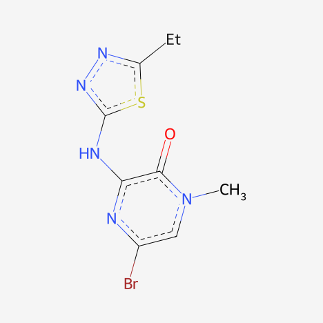 CCc1nnc(Nc2nc(Br)cn(C)c2=O)s1